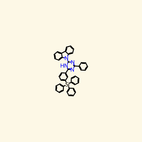 c1ccc(C2=NC(n3c4ccccc4c4ccccc43)NC(c3cccc([Si](c4ccccc4)(c4ccccc4)c4ccccc4)c3)=N2)cc1